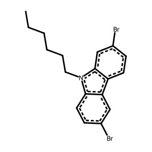 CCCCCCn1c2ccc(Br)cc2c2ccc(Br)cc21